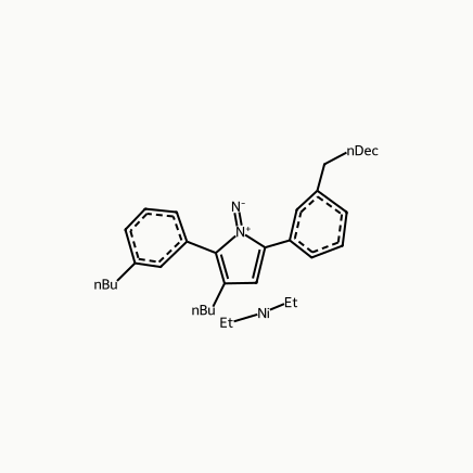 CCCCCCCCCCCc1cccc(C2=CC(CCCC)=C(c3cccc(CCCC)c3)[N+]2=[N-])c1.C[CH2][Ni][CH2]C